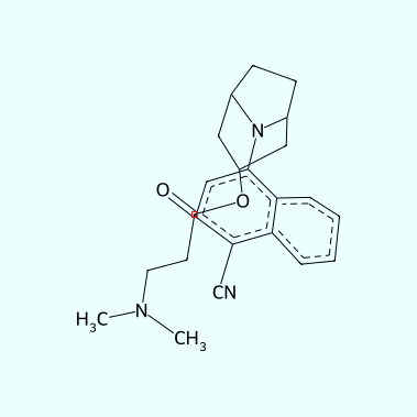 CN(C)CCC(=O)OC1CC2CCC(C1)N2c1ccc(C#N)c2ccccc12